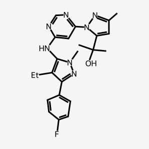 CCc1c(-c2ccc(F)cc2)nn(C)c1Nc1cc(-n2nc(C)cc2C(C)(C)O)ncn1